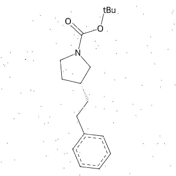 CC(C)(C)OC(=O)N1CC[C@@H](CCc2ccccc2)C1